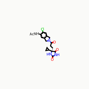 CC(=O)Nc1cc2c(cc1Cl)CN(C(=O)CC[C@@]1(C3CC3)NC(=O)NC1=O)C2